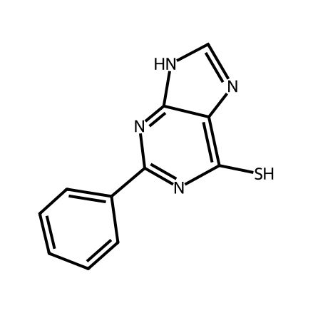 Sc1nc(-c2ccccc2)nc2[nH]cnc12